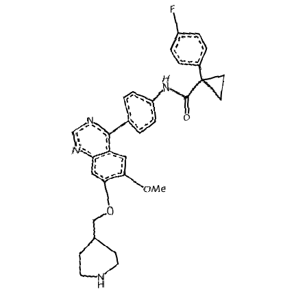 COc1cc2c(-c3ccc(NC(=O)C4(c5ccc(F)cc5)CC4)cc3)ncnc2cc1OCC1CCNCC1